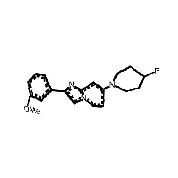 COc1cccc(-c2cn3ccc(N4CCC(F)CC4)cc3n2)c1